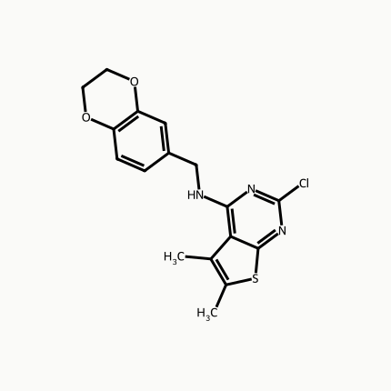 Cc1sc2nc(Cl)nc(NCc3ccc4c(c3)OCCO4)c2c1C